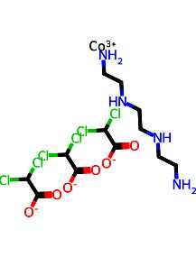 NCCNCCNCCN.O=C([O-])C(Cl)Cl.O=C([O-])C(Cl)Cl.O=C([O-])C(Cl)Cl.[Co+3]